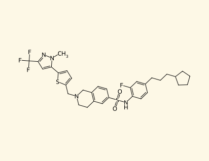 Cn1nc(C(F)(F)F)cc1-c1ccc(CN2CCc3cc(S(=O)(=O)Nc4ccc(CCCC5CCCC5)cc4F)ccc3C2)s1